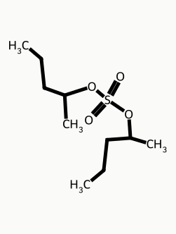 CCCC(C)OS(=O)(=O)OC(C)CCC